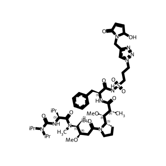 CC[C@H](C)[C@@H]([C@@H](CC(=O)N1CCC[C@H]1[C@H](OC)[C@@H](C)C(=O)N[C@@H](Cc1ccccc1)C(=O)NS(=O)(=O)CCCn1cc(CN2C(=O)C=CC2O)nn1)OC)N(C)C(=O)[C@@H](NC(=O)N(C(C)C)C(C)C)C(C)C